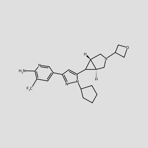 Nc1ncc(-c2cc(C3[C@@H]4CN(C5COC5)C[C@@H]34)n(C3CCCC3)n2)cc1C(F)(F)F